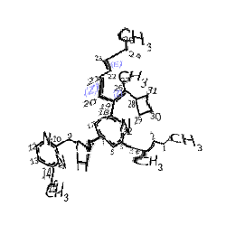 CCC=C(C)c1cc(NCc2nccc(C)n2)cc(C(/C=C\C=C\CC)=C(/C)C2CCC2)n1